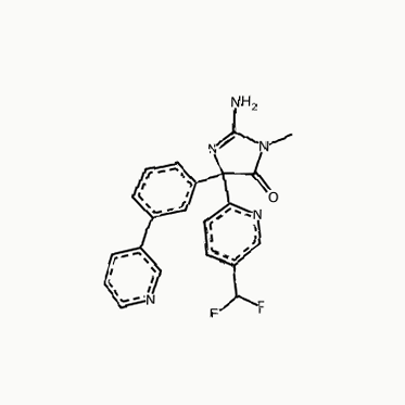 CN1C(=O)C(c2cccc(-c3cccnc3)c2)(c2ccc(C(F)F)cn2)N=C1N